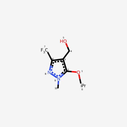 CC(C)Oc1c(CO)c(C(F)(F)F)nn1C